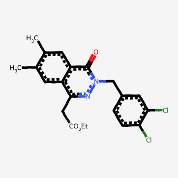 CCOC(=O)Cc1nn(Cc2ccc(Cl)c(Cl)c2)c(=O)c2cc(C)c(C)cc12